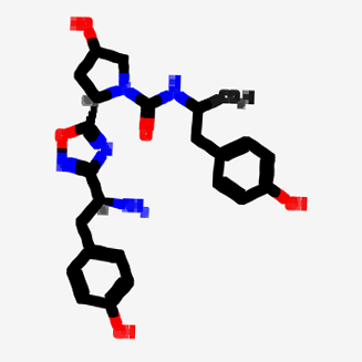 N[C@@H](Cc1ccc(O)cc1)c1noc([C@@H]2CC(O)CN2C(=O)NC(Cc2ccc(O)cc2)C(=O)O)n1